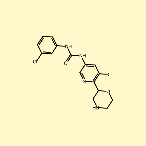 O=C(Nc1cccc(Cl)c1)Nc1cnc(C2CNCCO2)c(Cl)c1